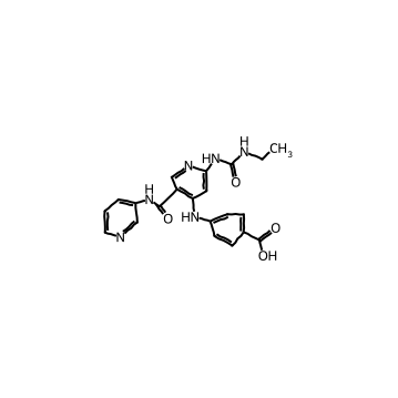 CCNC(=O)Nc1cc(Nc2ccc(C(=O)O)cc2)c(C(=O)Nc2cccnc2)cn1